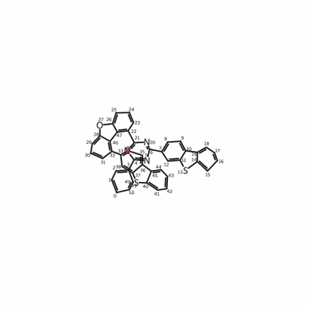 c1ccc(-c2nc(-c3ccc4c(c3)sc3ccccc34)nc(-c3cccc4oc5cccc(-c6ccc7c(c6)sc6ccccc67)c5c34)n2)cc1